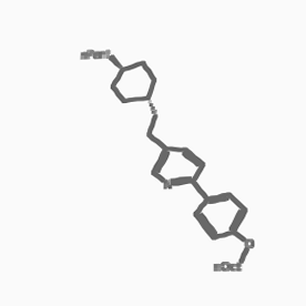 CCCCCCCCOc1ccc(-c2ccc(CC[C@H]3CC[C@H](CCCCC)CC3)cn2)cc1